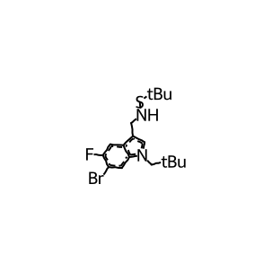 CC(C)(C)Cn1cc(CNSC(C)(C)C)c2cc(F)c(Br)cc21